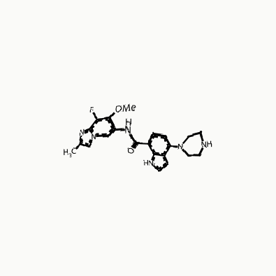 COc1c(NC(=O)c2ccc(N3CCNCC3)c3cc[nH]c23)cn2cc(C)nc2c1F